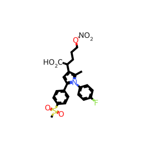 Cc1c(C(CCCO[N+](=O)[O-])C(=O)O)cc(-c2ccc(S(C)(=O)=O)cc2)n1-c1ccc(F)cc1